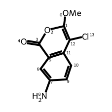 COc1oc(=O)c2cc(N)ccc2c1Cl